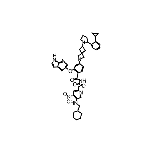 O=C(NS(=O)(=O)c1cc([N+](=O)[O-])c(NCC2CCCCC2)cn1)c1ccc(N2CC3(CC(N4CCCC4c4ccccc4C4CC4)C3)C2)cc1Oc1cnc2[nH]ccc2c1